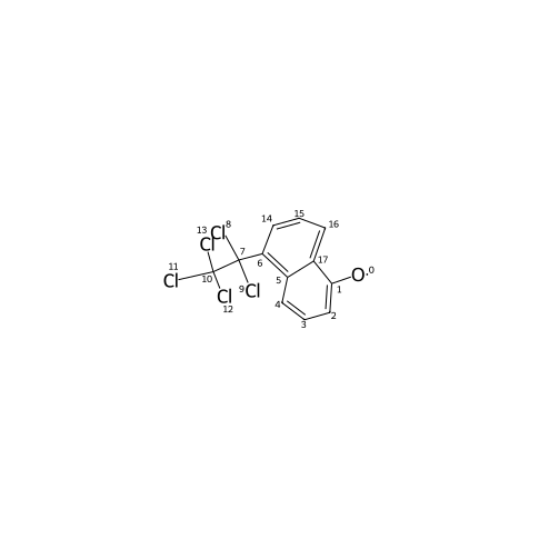 [O]c1cccc2c(C(Cl)(Cl)C(Cl)(Cl)Cl)cccc12